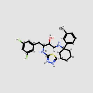 CC(C)(C)c1cccc(C2(NCC(O)C(Cc3cc(F)cc(F)c3)Nc3nncs3)CCCCC2)c1